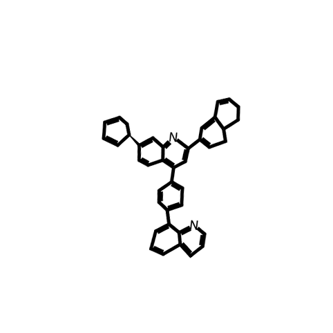 C1=CC[C@@H](c2ccc3c(-c4ccc(-c5cccc6cccnc56)cc4)cc(C4=CCC5CCC=CC5=C4)nc3c2)C=C1